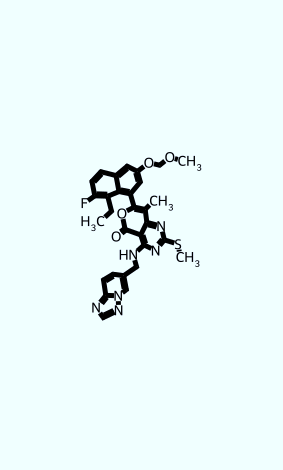 CCc1c(F)ccc2cc(OCOC)cc(-c3oc(=O)c4c(NCc5ccc6ncnn6c5)nc(SC)nc4c3C)c12